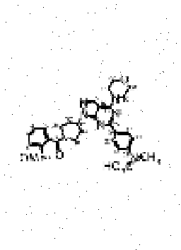 COc1ccccc1C(=O)N1CCC(n2ncc3c(N4CCOCC4)nc(-c4ccc(N(C)C(=O)O)cc4)nc32)CC1